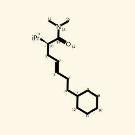 CC(C)[C@H](CC=CCCC1CCCCC1)C(=O)N(C)C